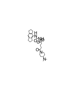 CN(C)C1CCN(C(=O)CCCS(=O)(=O)NC(=O)Nc2c3c(cc4c2CCC4)CCC3)CC1